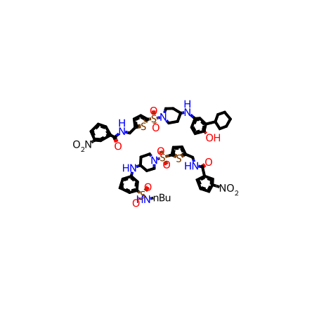 CCCCNS(=O)(=O)c1cccc(NC2CCN(S(=O)(=O)c3ccc(CNC(=O)c4cccc([N+](=O)[O-])c4)s3)CC2)c1.O=C(NCc1ccc(S(=O)(=O)N2CCC(Nc3ccc(O)c(C4CCCCC4)c3)CC2)s1)c1cccc([N+](=O)[O-])c1